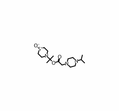 CC(C)N1CCN(CC(=O)OC(C)(C)N2CC[S+]([O-])CC2)CC1